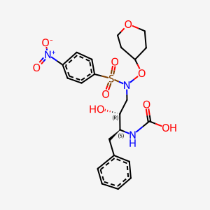 O=C(O)N[C@@H](Cc1ccccc1)[C@H](O)CN(OC1CCOCC1)S(=O)(=O)c1ccc([N+](=O)[O-])cc1